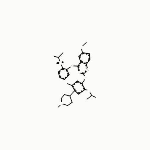 COc1ccc2nc(Nc3cc(C)c(C4CCN(C)CC4)cc3OC(C)C)nc(Nc3ccccc3S(=O)(=O)C(C)C)c2c1